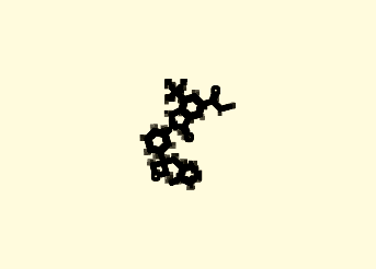 CCC(=O)c1cc2c(c(C(F)(F)F)c1)CN(c1cccc(C3(Cc4nncn4C)COC3)c1)C2=O